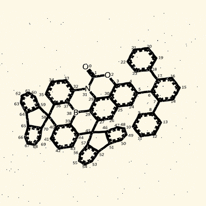 O=C1Oc2cc(-c3c(-c4ccccc4)cccc3-c3ccccc3)cc3cc4c5c(c23)N1c1cccc2c1B5c1c(cccc1C41c3ccccc3-c3ccccc31)C21c2ccccc2-c2ccccc21